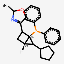 CC(C)C1N=C(C2C[C@H]3C(C4CCCC4)[C@@]23P(c2ccccc2)c2ccccc2)CO1